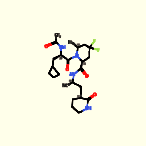 CC[C@H]1CC(F)(F)C[C@@H](C(=O)N[C@H](C#N)C[C@@H]2CCCNC2=O)N1C(=O)[C@@H](CC1CCC1)NC(=O)C(F)(F)F